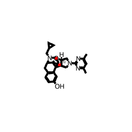 Cc1cc(C)nc(N2C[C@H]3OC45CCC2C3C42CCN(CC3CC3)C5Cc3ccc(O)cc32)n1